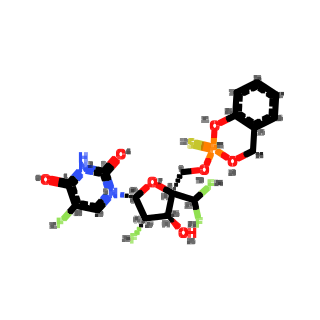 O=c1[nH]c(=O)n([C@@H]2O[C@@](COP3(=S)OCc4ccccc4O3)(C(F)F)[C@@H](O)[C@@H]2F)cc1F